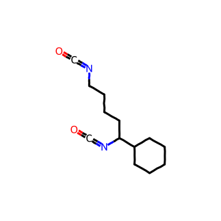 O=C=NCCCCC(N=C=O)C1CCCCC1